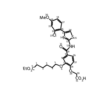 CCOC(=O)CCCCCOc1cc(C(=O)Nc2nc(-c3ccc(OC)cc3Cl)cs2)ccc1OCC(=O)O